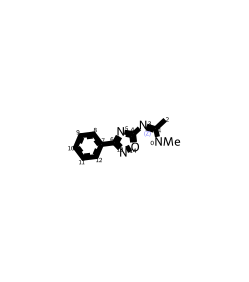 CN/C(C)=N\c1nc(-c2ccccc2)no1